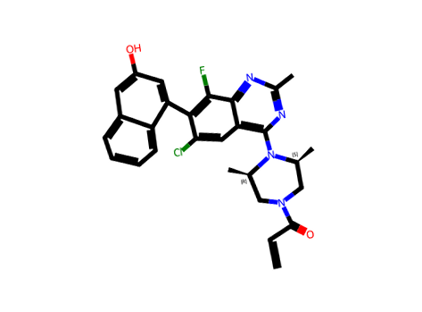 C=CC(=O)N1C[C@@H](C)N(c2nc(C)nc3c(F)c(-c4cc(O)cc5ccccc45)c(Cl)cc23)[C@@H](C)C1